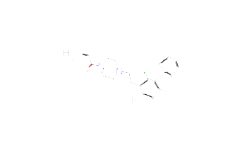 C=CC(=O)N1CCN(CCc2c(O)c(Cl)c(Cl)c(-c3ccccc3)c2Cl)CC1